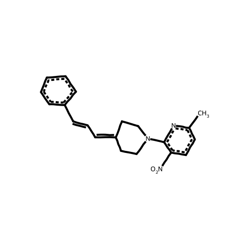 Cc1ccc([N+](=O)[O-])c(N2CCC(=CC=Cc3ccccc3)CC2)n1